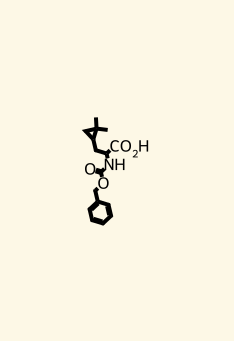 CC1(C)CC1CC(NC(=O)OCc1ccccc1)C(=O)O